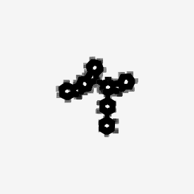 c1ccc(-c2ccc(-c3nc(-n4c5ccccc5c5cc6c(cc54)sc4ccccc46)nc4c3sc3ccccc34)cc2)cc1